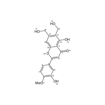 COc1ccc(-c2cc(=O)c3c(O)c(CO)c(CO)cc3o2)cc1O